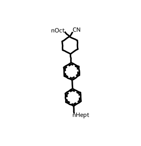 CCCCCCCCC1(C#N)CCC(c2ccc(-c3ccc(CCCCCCC)cc3)cc2)CC1